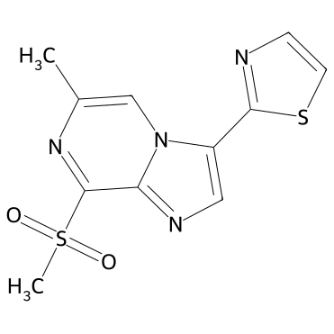 Cc1cn2c(-c3nccs3)cnc2c(S(C)(=O)=O)n1